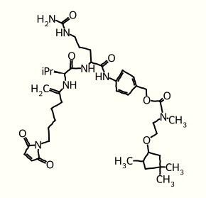 C=C(CCCCCN1C(=O)C=CC1=O)N[C@H](C(=O)NC(CCCNC(N)=O)C(=O)Nc1ccc(COC(=O)N(C)CCOC2CC(C)(C)CC2C)cc1)C(C)C